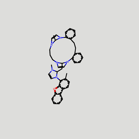 Cc1ccc2c(oc3ccccc32)c1N1C=CN(C)C1CC1N2C=CN1c1ccccc1CCc1ccccc1N1C=CN(CCC2)C1C